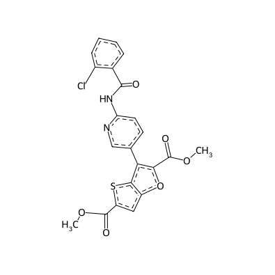 COC(=O)c1cc2oc(C(=O)OC)c(-c3ccc(NC(=O)c4ccccc4Cl)nc3)c2s1